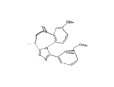 COc1cccc(-c2nnc3n2-c2ccc(OC)cc2NC[C@H]3C)c1